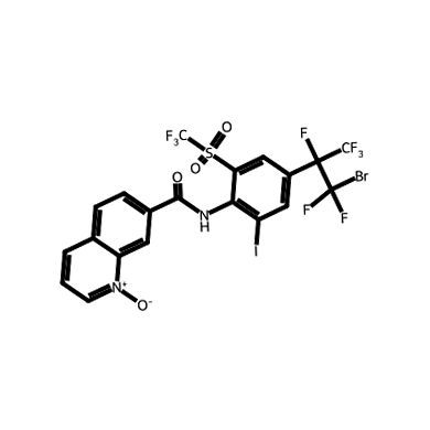 O=C(Nc1c(I)cc(C(F)(C(F)(F)F)C(F)(F)Br)cc1S(=O)(=O)C(F)(F)F)c1ccc2ccc[n+]([O-])c2c1